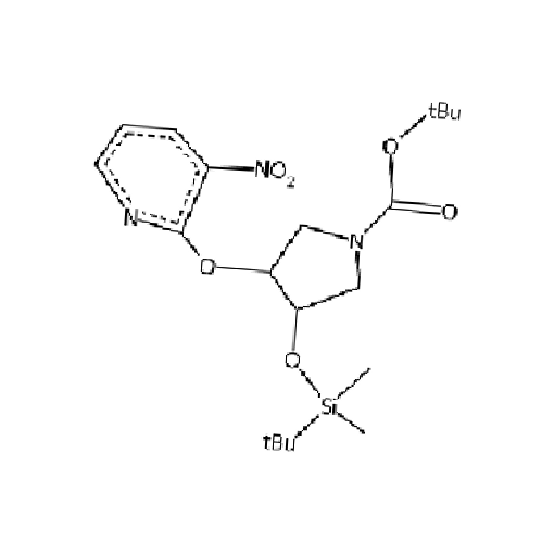 CC(C)(C)OC(=O)N1CC(Oc2ncccc2[N+](=O)[O-])C(O[Si](C)(C)C(C)(C)C)C1